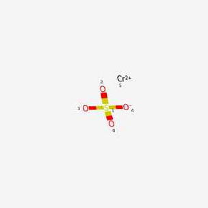 O=S(=O)([O-])[O-].[Cr+2]